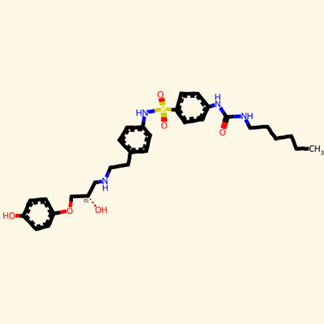 CCCCCCNC(=O)Nc1ccc(S(=O)(=O)Nc2ccc(CCNC[C@H](O)COc3ccc(O)cc3)cc2)cc1